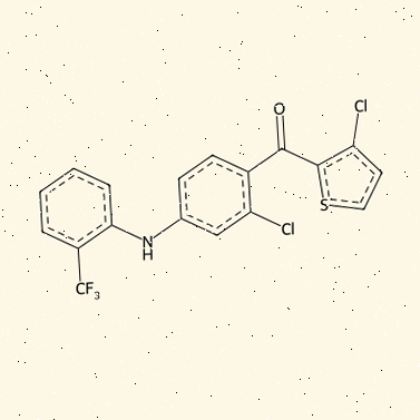 O=C(c1ccc(Nc2ccccc2C(F)(F)F)cc1Cl)c1sccc1Cl